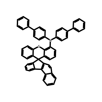 c1ccc(-c2ccc(N(c3ccc(-c4ccccc4)cc3)c3cccc4c3Sc3ccccc3C43c4ccccc4-c4c3ccc3ccccc43)cc2)cc1